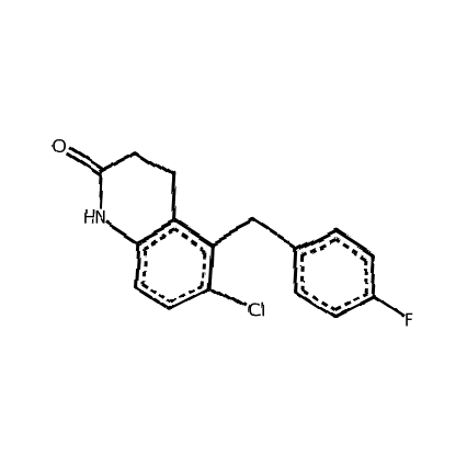 O=C1CCc2c(ccc(Cl)c2Cc2ccc(F)cc2)N1